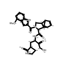 COc1cccc2[nH]c(C(=O)N3CC4C5C=CC(C5)C4C3C(=O)NC(CC3CCNC3=O)C(=O)CO)cc12